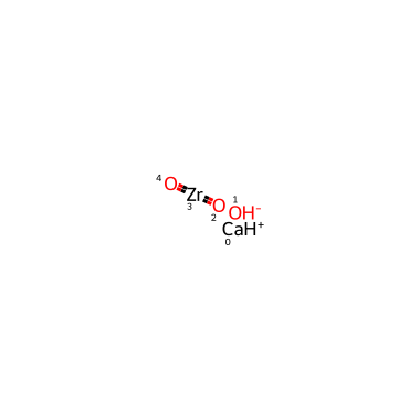 [CaH+].[OH-].[O]=[Zr]=[O]